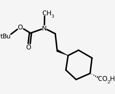 CN(CC[C@H]1CC[C@H](C(=O)O)CC1)C(=O)OC(C)(C)C